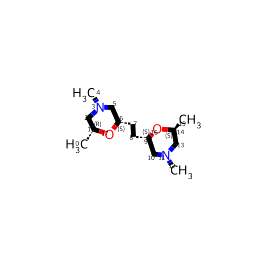 C[C@@H]1CN(C)C[C@H](CC[C@H]2CN(C)C[C@H](C)O2)O1